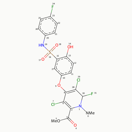 CNN1C(C(=O)OC)=C(Cl)C(Oc2ccc(O)c(S(=O)(=O)Nc3ccc(F)cc3)c2)=C(Cl)C1F